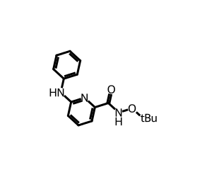 CC(C)(C)ONC(=O)c1cccc(Nc2ccccc2)n1